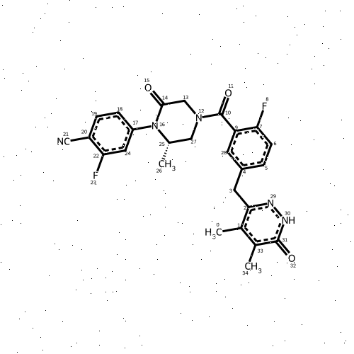 Cc1c(Cc2ccc(F)c(C(=O)N3CC(=O)N(c4ccc(C#N)c(F)c4)[C@@H](C)C3)c2)n[nH]c(=O)c1C